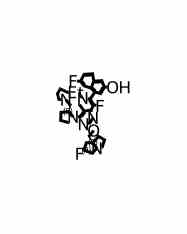 CCc1c(F)ccc2cc(O)cc(-c3ncc4c(N5CCC[C@H]5CN5CCCC5)nc(OC[C@@]56CCCN5C[C@H](F)C6)nc4c3F)c12